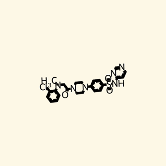 CN(CC(=O)N1CCN(c2ccc(S(=O)(=O)Nc3ccncn3)cc2)CC1)c1ccccc1Cl